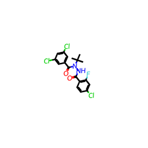 CC(C)(C)N(NC(=O)c1ccc(Cl)cc1F)C(=O)c1cc(Cl)cc(Cl)c1